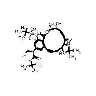 CCN(C(=O)OC(C)(C)C)c1cc2c(c(O[Si](C)(C)C(C)(C)C)c1)C(=O)O[C@@H](C)[C@H](C)/C=C\C(=O)[C@H]1OC(C)(C)O[C@H]1CC#C2